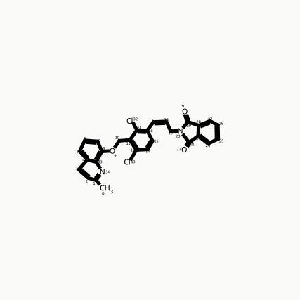 Cc1ccc2cccc(OCc3c(Cl)ccc(/C=C\CN4C(=O)c5ccccc5C4=O)c3Cl)c2n1